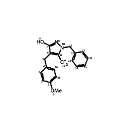 COc1ccc(Cc2c(O)nn(Cc3ccccc3)c2C(F)(F)F)cc1